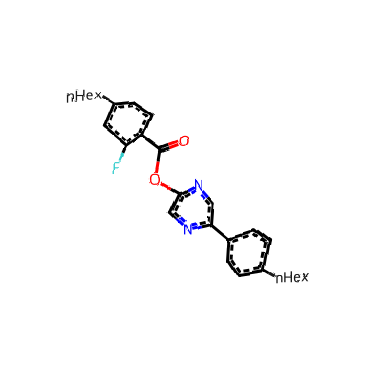 CCCCCCc1ccc(-c2cnc(OC(=O)c3ccc(CCCCCC)cc3F)cn2)cc1